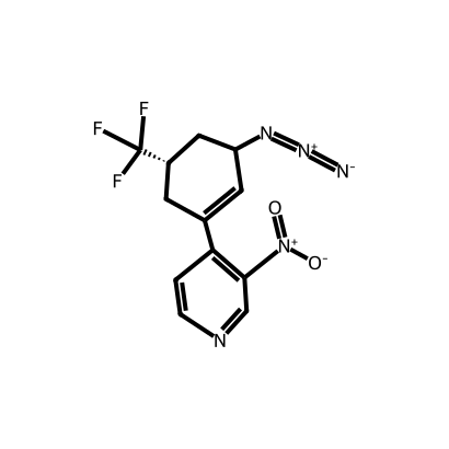 [N-]=[N+]=NC1C=C(c2ccncc2[N+](=O)[O-])C[C@H](C(F)(F)F)C1